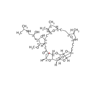 C=C1C[C@@H]2CC[C@@]34C[C@H]5O[C@@H]6C(O[C@H]7CC[C@H](CC(=O)C[C@@H]8[C@@H](OC)[C@@H](C[C@H](O)CNC(C)C)O[C@H]8C[C@H]8O[C@@H](CC[C@@H]1O2)C[C@@H](C)C8=C)OC7[C@@H]6O3)[C@H]5O4